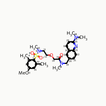 COc1cc(C)c(S(=O)(=O)N(C)CCOCC(=O)N(C)Cc2ccc3nc(N(C)C)ccc3c2)c(C)c1